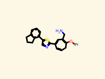 CC(C)OC1=C(CN)C=C(c2ncc(-c3cccc4c3CCC4)s2)C=CC1